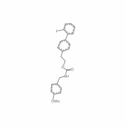 COc1ccc(CNC(=O)OCCc2ccc(-c3ccccc3F)cc2)cc1